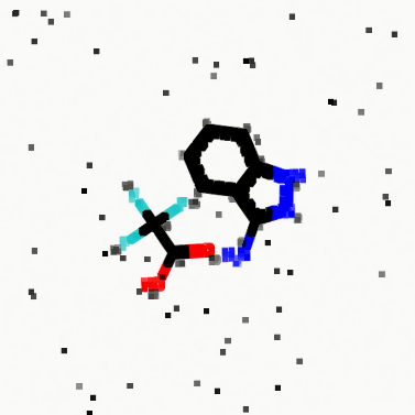 Nc1n[nH]c2ccccc12.O=C(O)C(F)(F)F